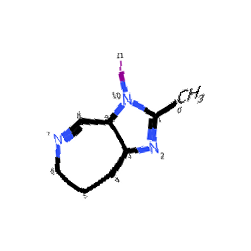 CC1=NC2CCCN=CC2N1I